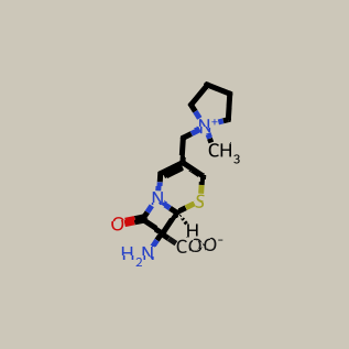 C[N+]1(CC2=CN3C(=O)C(N)(C(=O)[O-])[C@@H]3SC2)CCCC1